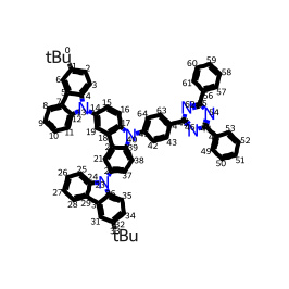 CC(C)(C)c1ccc2c(c1)c1ccccc1n2-c1ccc2c(c1)c1cc(-n3c4ccccc4c4cc(C(C)(C)C)ccc43)ccc1n2-c1ccc(-c2nc(-c3ccccc3)nc(-c3ccccc3)n2)cc1